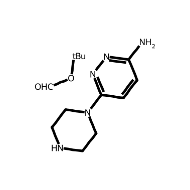 CC(C)(C)OC=O.Nc1ccc(N2CCNCC2)nn1